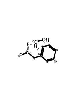 CO.FN(F)Cc1ccccc1